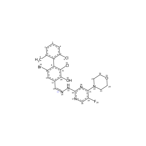 Cc1cccc(Cl)c1-c1c(Br)cc(/C=N\Nc2ncc(F)c(N3CCOCC3)n2)c(O)c1Cl